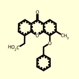 Cc1ccc2c(=O)c3cccc(CC(=O)O)c3oc2c1OCc1ccccc1